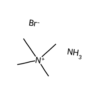 C[N+](C)(C)C.N.[Br-]